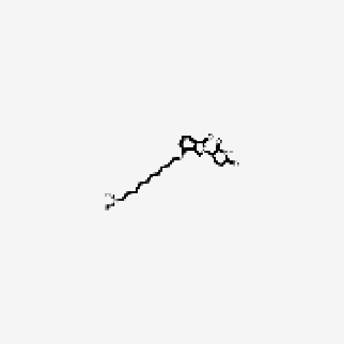 CC(C)N(CCCCCCCCCCSc1cccc2c1CN(C1CCC(=O)NC1=O)C2=O)C(C)C